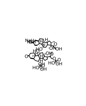 C[C@@H]1C[C@H]2[C@@H]3CCC4=CC(=O)C=C[C@]4(C)[C@@]3(F)[C@@H](O)C[C@]2(C)[C@@]1(O)C(=O)CO.C[C@]12CCC(=O)C=C1CC[C@@H]1[C@@H]2[C@@H](O)C[C@@]2(C)[C@H]1CC[C@]2(O)C(=O)COP(=O)(O)O.O=P(O)(O)O.[NaH].[NaH]